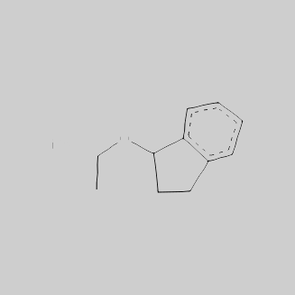 CC(C)[C@@H](C)OC1CCc2ccccc21